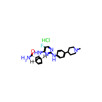 CN1CCC(c2ccc(Nc3ncc(F)c(N[C@H]4[C@@H](C(N)=O)[C@@H]5C=C[C@H]4C5)n3)cc2)CC1.Cl